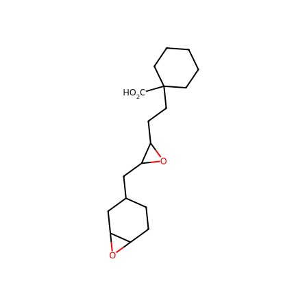 O=C(O)C1(CCC2OC2CC2CCC3OC3C2)CCCCC1